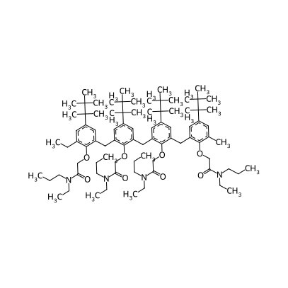 CCCN(CC)C(=O)COc1c(C)cc(C(C)(C)C(C)(C)C)cc1Cc1cc(C(C)(C)C(C)(C)C)cc(Cc2cc(C(C)(C)C(C)(C)C)cc(Cc3cc(C(C)(C)C(C)(C)C)cc(CC)c3OCC(=O)N(CC)CCC)c2OCC(=O)N(CC)CCC)c1OCC(=O)N(CC)CCC